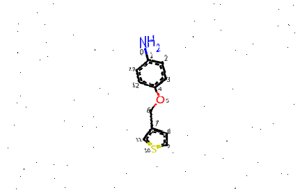 Nc1ccc(OCc2ccsc2)cc1